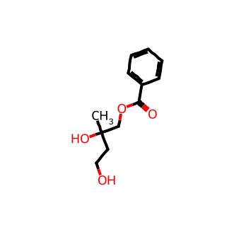 CC(O)(CCO)COC(=O)c1ccccc1